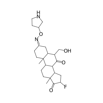 CC12CCC3C(C(=O)C(CO)C4CC(=NOC5CCNC5)CCC43C)C1CC(F)C2=O